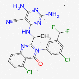 C[C@H](Nc1nc(N)nc(N)c1C#N)c1nc2cccc(Cl)c2c(=O)n1-c1cc(Cl)cc(C(F)F)c1